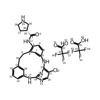 O=C(Nc1ccc2cc1CCc1cccc(c1)Nc1ncc(Cl)c(n1)N2)[C@@H]1CCNC1.O=C(O)C(F)(F)F.O=C(O)C(F)(F)F